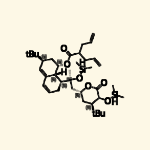 C=CCC(CC=C)C(=O)O[C@H]1C[C@H](C(C)(C)C)C=C2C=CC[C@H]([C@](C)(C[C@H]3C[C@H](C(C)(C)C)C(O[SiH](C)C)C(=O)O3)O[SiH](C)C)[C@H]21